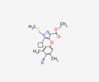 CCOC(=O)c1nn(CSC)c(C2CCC2)c1Oc1cc(C)c(C#N)c(C)c1